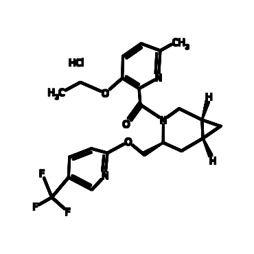 CCOc1ccc(C)nc1C(=O)N1C[C@@H]2C[C@@H]2C[C@H]1COc1ccc(C(F)(F)F)cn1.Cl